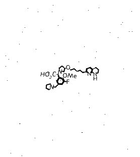 COc1c(F)cc(CN2CCCC2)cc1[C@H](C(=O)O)N1CC[C@@H](OCCCCCc2ccc3c(n2)NCCC3)C1